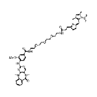 COc1cc(C(=O)NCCOCCOCCOCCNC(=O)CCC2=N/C(=C\c3c(C)cc(C)n3B(F)F)C=C2)ccc1Nc1ncc2c(n1)N(C)c1ccccc1C(=O)N2C